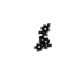 O=C(NC1C(C(=O)O)[C@@H]2O[C@@H]1c1ccccc12)c1cc2cc(Cl)ccc2[nH]1